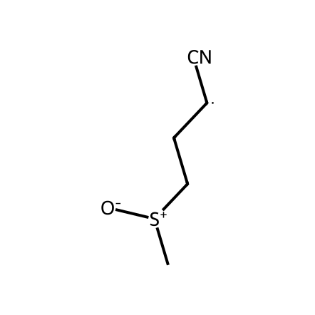 C[S+]([O-])CC[CH]C#N